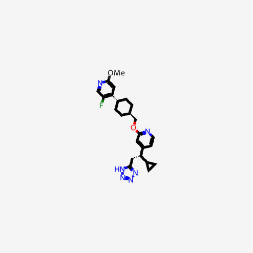 COc1cc([C@H]2CC[C@H](COc3cc([C@@H](Cc4nnn[nH]4)C4CC4)ccn3)CC2)c(F)cn1